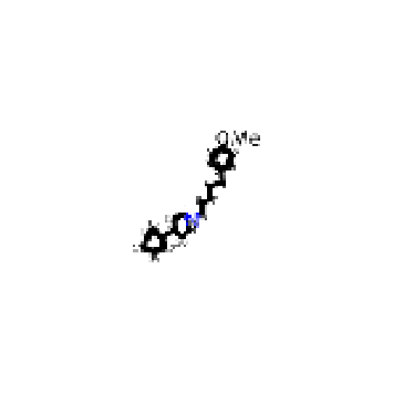 COc1ccc(CCCCCN2CCC(c3ccccc3)CC2)cc1